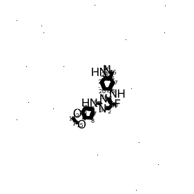 Fc1cnc(Nc2ccc3c(c2)OCCO3)nc1Nc1ccc2[nH]ncc2c1